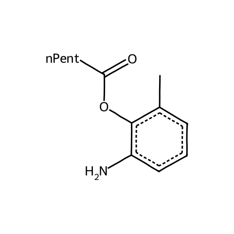 CCCCCC(=O)Oc1c(C)cccc1N